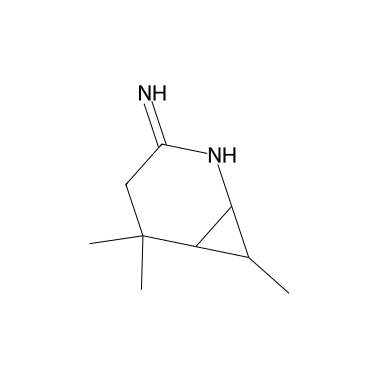 CC1C2NC(=N)CC(C)(C)C12